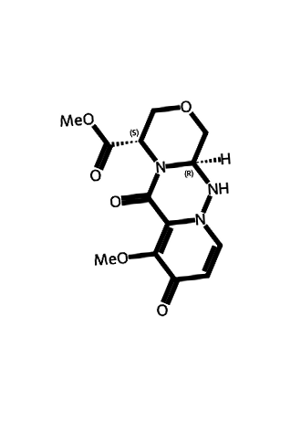 COC(=O)[C@@H]1COC[C@H]2Nn3ccc(=O)c(OC)c3C(=O)N21